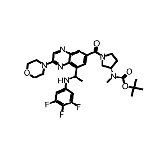 CC(Nc1cc(F)c(F)c(F)c1)c1cc(C(=O)N2CC[C@H](N(C)C(=O)OC(C)(C)C)C2)cc2ncc(N3CCOCC3)nc12